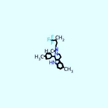 C=C(CC/N=C(\C)N1CCc2c([nH]c3ccc(C)cc23)C1C1C=CC(C)=CC1)C(F)(F)F